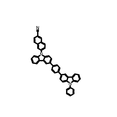 N#Cc1ccc2cc(-n3c4ccccc4c4cc(-c5ccc(-c6ccc7c(c6)c6ccccc6n7-c6ccccc6)cc5)ccc43)ccc2c1